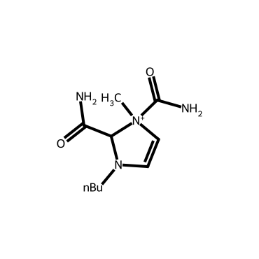 CCCCN1C=C[N+](C)(C(N)=O)C1C(N)=O